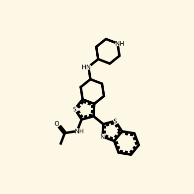 CC(=O)Nc1sc2c(c1-c1nc3ccccc3s1)CCC(NC1CCNCC1)C2